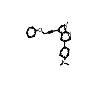 CN(C)c1ccc(-c2cnc3c(c2)c(C#CCOc2ccccc2)cn3C)cc1